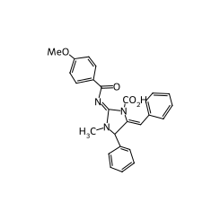 COc1ccc(C(=O)N=C2N(C(=O)O)C(=Cc3ccccc3)C(c3ccccc3)N2C)cc1